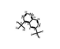 CC(C)(C)c1cc2c(C(C)(C)C)ncnc2cn1